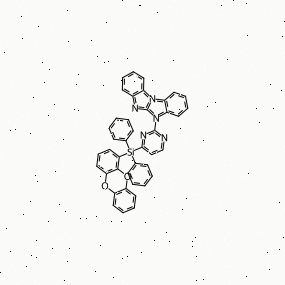 c1ccc([Si](c2ccccc2)(c2ccnc(-n3c4ccccc4n4c5ccccc5nc34)n2)c2cccc3c2Oc2ccccc2O3)cc1